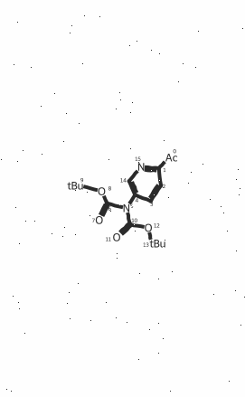 [CH2]C(=O)c1ccc(N(C(=O)OC(C)(C)C)C(=O)OC(C)(C)C)cn1